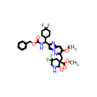 COC(=O)C1(Cc2nn3cc(C(NC(=O)OCc4ccccc4)C4CCC(F)(F)CC4)nc3cc2OC)CC(F)(F)CNC1=O